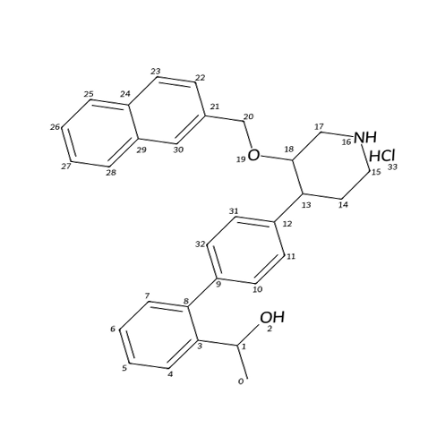 CC(O)c1ccccc1-c1ccc(C2CCNCC2OCc2ccc3ccccc3c2)cc1.Cl